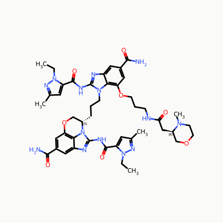 CCn1nc(C)cc1C(=O)Nc1nc2cc(C(N)=O)cc(OCCCNC(=O)C[C@@H]3COCCN3C)c2n1CCC[C@H]1COc2cc(C(N)=O)cc3nc(NC(=O)c4cc(C)nn4CC)n1c23